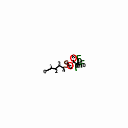 CCCCCSOC(=O)C(F)(F)F